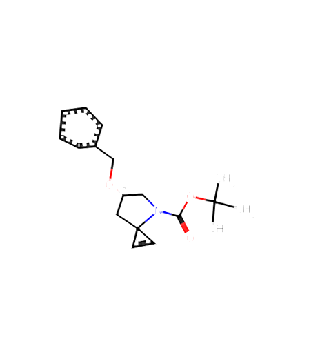 CC(C)(C)OC(=O)N1C[C@@H](OCc2ccccc2)CC12C=C2